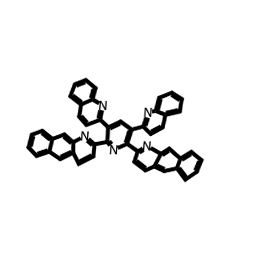 c1ccc2cc3nc(-c4nc(-c5ccc6cc7ccccc7cc6n5)c(-c5ccc6ccccc6n5)cc4-c4ccc5ccccc5n4)ccc3cc2c1